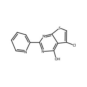 Oc1nc(-c2ccccn2)nc2scc(Cl)c12